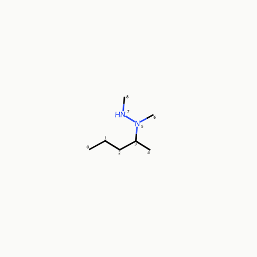 CCCC(C)N(C)NC